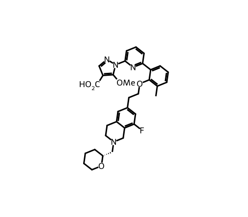 COc1c(C(=O)O)cnn1-c1cccc(-c2cccc(C)c2OCCc2cc(F)c3c(c2)CCN(C[C@H]2CCCCO2)C3)n1